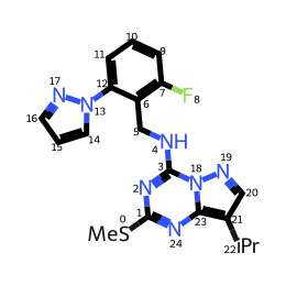 CSc1nc(NCc2c(F)cccc2-n2cccn2)n2ncc(C(C)C)c2n1